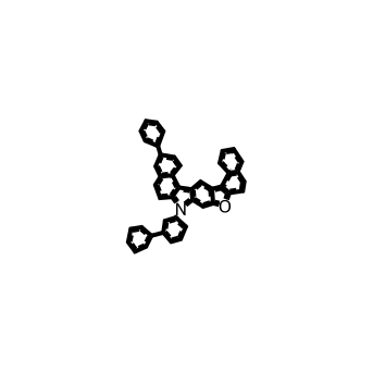 c1ccc(-c2cccc(-n3c4cc5oc6ccc7ccccc7c6c5cc4c4c5ccc(-c6ccccc6)cc5ccc43)c2)cc1